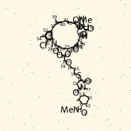 CNC(=O)[C@H]1CC[C@H](CN2C(=O)CC(SCCCO[C@H](C)C(=O)O[C@H]3CC(=O)N(C)c4cc(cc(C)c4Cl)C/C(C)=C/C=C/[C@@H](OC)[C@@]4(O)C[C@H](OC(=O)N4)[C@@H](C)[C@@H]4O[C@@]34C)C2=O)CC1